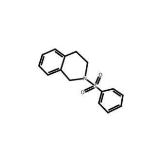 O=S(=O)(c1cc[c]cc1)N1CCc2ccccc2C1